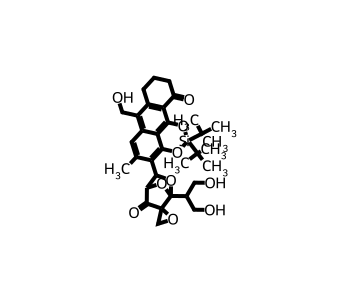 Cc1cc2c(CO)c3c(c4c2c(c1C1OC2(C(CO)CO)OC1C(=O)C21CO1)O[Si](C(C)(C)C)(C(C)(C)C)O4)C(=O)CCC3